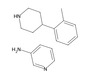 Cc1ccccc1C1CCNCC1.Nc1cccnc1